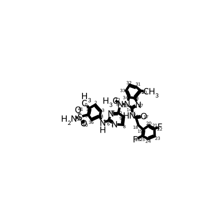 Cc1ccc(Nc2nccc(N(C)n3c(NC(=O)Cc4cc(F)ccc4F)nc4c(C)cccc43)n2)cc1S(N)(=O)=O